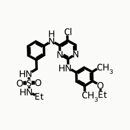 CCNS(=O)(=O)NCc1cccc(Nc2nc(Nc3cc(C)c(OCC)c(C)c3)ncc2Cl)c1